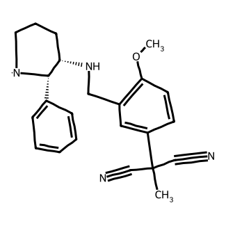 COc1ccc(C(C)(C#N)C#N)cc1CN[C@H]1CCC[N][C@H]1c1ccccc1